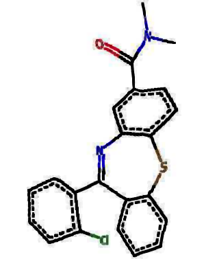 CN(C)C(=O)c1ccc2c(c1)N=C(c1ccccc1Cl)c1ccccc1S2